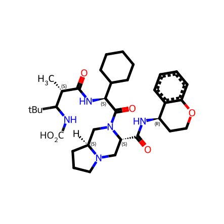 C[C@H](C(=O)N[C@H](C(=O)N1C[C@@H]2CCCN2C[C@H]1C(=O)N[C@@H]1CCOc2ccccc21)C1CCCCC1)C(NC(=O)O)C(C)(C)C